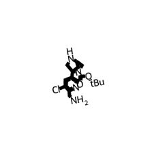 CC(C)(C)OC(=O)N1CC2CC1(c1cnc(CN)c(Cl)c1)CN2